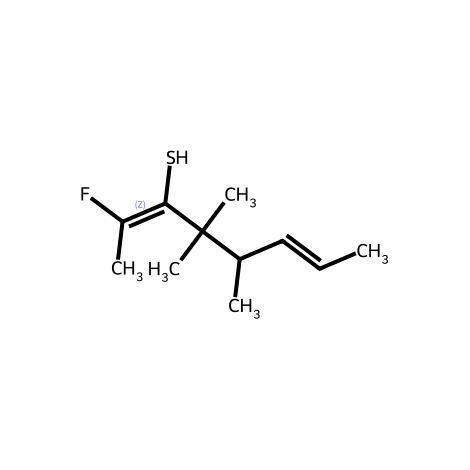 CC=CC(C)C(C)(C)/C(S)=C(\C)F